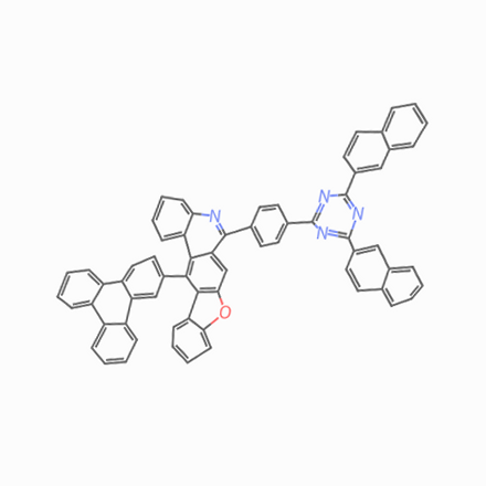 c1ccc2cc(-c3nc(-c4ccc(-c5nc6ccccc6c6c(-c7ccc8c9ccccc9c9ccccc9c8c7)c7c(cc56)oc5ccccc57)cc4)nc(-c4ccc5ccccc5c4)n3)ccc2c1